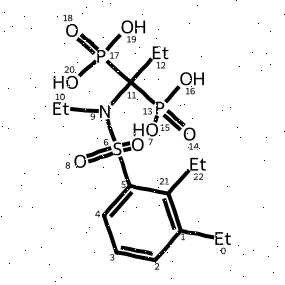 CCc1cccc(S(=O)(=O)N(CC)C(CC)(P(=O)(O)O)P(=O)(O)O)c1CC